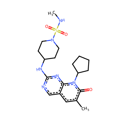 CNS(=O)(=O)N1CCC(Nc2ncc3cc(C)c(=O)n(C4CCCC4)c3n2)CC1